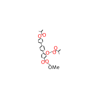 C=C(C)C(=O)OCCOc1cc(C(=O)OCCOC)ccc1-c1ccc(-c2ccc(OC(=O)C(=C)C)cc2)cc1